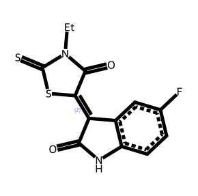 CCN1C(=O)/C(=C2/C(=O)Nc3ccc(F)cc32)SC1=S